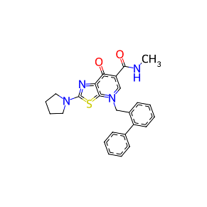 CNC(=O)c1cn(Cc2ccccc2-c2ccccc2)c2sc(N3CCCC3)nc2c1=O